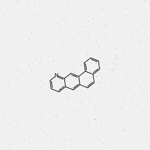 c1cnc2cc3c(ccc4ccccc43)cc2c1